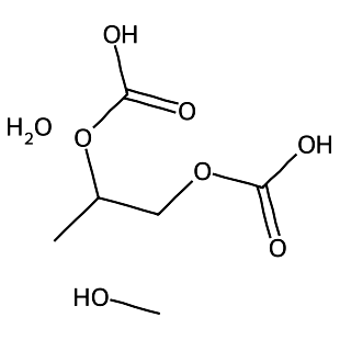 CC(COC(=O)O)OC(=O)O.CO.O